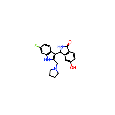 O=C1NC(c2c(CN3CCCC3)[nH]c3cc(F)ccc23)c2cc(O)ccc21